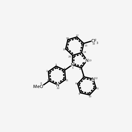 COc1ccc(-n2c(-c3ccccn3)nc3c(C(F)(F)F)cccc32)cn1